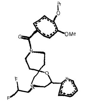 COc1cc(C(=O)N2CCC3(CC2)CN(CC(F)F)CC(c2ccccn2)O3)ccc1OC(C)C